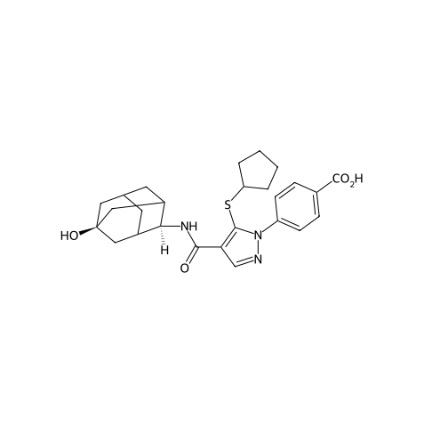 O=C(O)c1ccc(-n2ncc(C(=O)N[C@H]3C4CC5CC3C[C@@](O)(C5)C4)c2SC2CCCC2)cc1